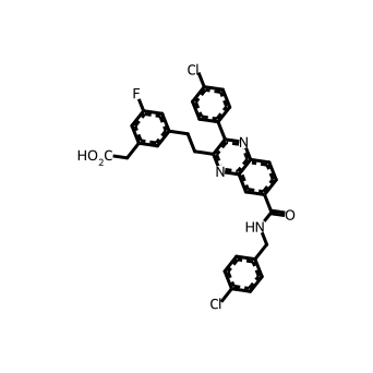 O=C(O)Cc1cc(F)cc(CCc2nc3cc(C(=O)NCc4ccc(Cl)cc4)ccc3nc2-c2ccc(Cl)cc2)c1